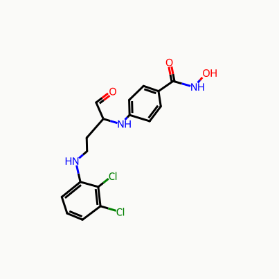 O=CC(CCNc1cccc(Cl)c1Cl)Nc1ccc(C(=O)NO)cc1